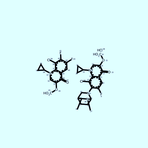 CC1C2CCC(N(c3c(F)cc4c(=O)c(OC(=O)O)cn(C5CC5)c4c3Cl)C2)N1C.Cl.O=C(O)Oc1cn(C2CC2)c2c(Cl)c(F)c(F)cc2c1=O